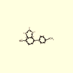 Cc1ccc(-c2ccc(C(C)(C)C)c3nsnc23)cc1